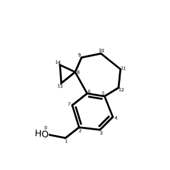 OCc1ccc2c(c1)C1(CCCC2)CC1